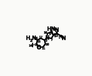 N#Cc1n[nH]c2c1CN([C@H]1CCO[C@H](I)[C@@H](N)C1)C2